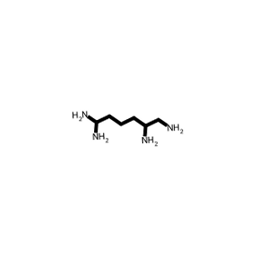 NCC(N)CCCC(N)N